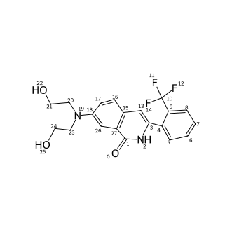 O=c1[nH]c(-c2ccccc2C(F)(F)F)cc2ccc(N(CCO)CCO)cc12